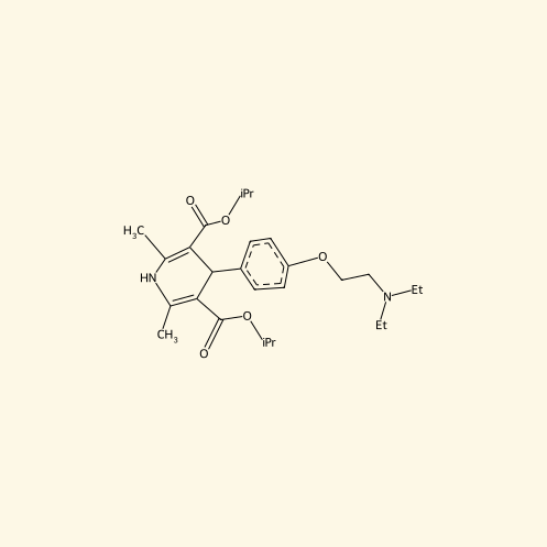 CCN(CC)CCOc1ccc(C2C(C(=O)OC(C)C)=C(C)NC(C)=C2C(=O)OC(C)C)cc1